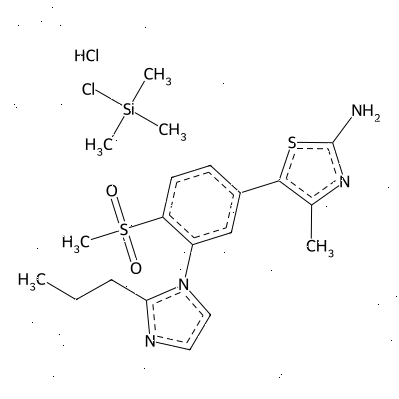 CCCc1nccn1-c1cc(-c2sc(N)nc2C)ccc1S(C)(=O)=O.C[Si](C)(C)Cl.Cl